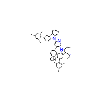 C=Cc1c(/C=C\C)c2cc(-c3c(C)cc(C)cc3C)ccc2n1-c1cnc(-n2c3ccccc3c3cc(-c4c(C)cc(C)cc4C)ccc32)cc1-c1ccc(C#N)cc1